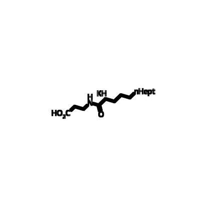 CCCCCCCCCCCC(=O)NCCC(=O)O.[KH]